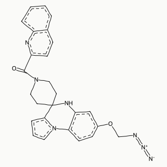 [N-]=[N+]=NCOc1ccc2c(c1)NC1(CCN(C(=O)c3ccc4ccccc4n3)CC1)c1cccn1-2